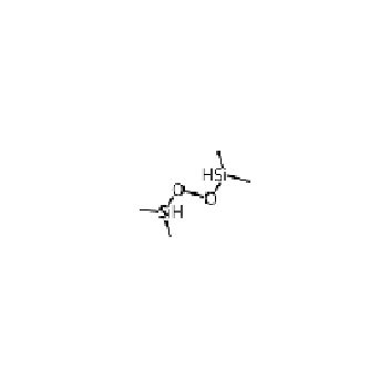 C[SiH](C)OO[SiH](C)C